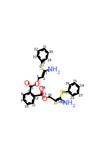 NC(=CCOC(=O)c1ccccc1C(=O)OCC=C(N)Sc1ccccc1)Sc1ccccc1